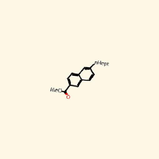 CCCCCCCc1ccc2cc(C(=O)OC)ccc2c1